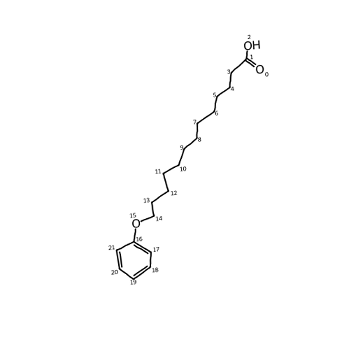 O=C(O)CCCCCCCCCCCCOc1ccccc1